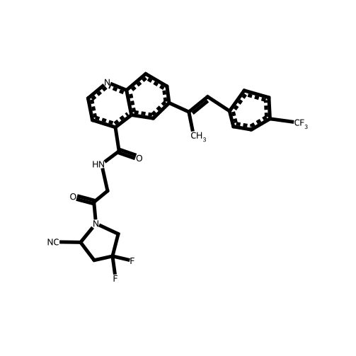 CC(=Cc1ccc(C(F)(F)F)cc1)c1ccc2nccc(C(=O)NCC(=O)N3CC(F)(F)CC3C#N)c2c1